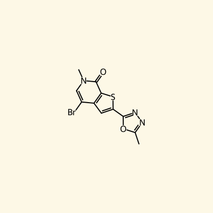 Cc1nnc(-c2cc3c(Br)cn(C)c(=O)c3s2)o1